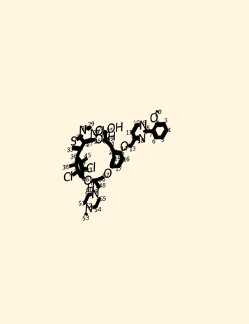 COc1ccccc1-c1nccc(COc2ccc3cc2C[C@H](C(=O)O)Oc2ncnc4scc(c24)-c2c(C)c(Cl)c(c(Cl)c2C)O[C@H](CN2CCN(C)CC2)CO3)n1